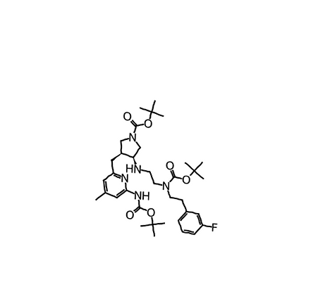 Cc1cc(C[C@H]2CN(C(=O)OC(C)(C)C)C[C@H]2NCCN(CCc2cccc(F)c2)C(=O)OC(C)(C)C)nc(NC(=O)OC(C)(C)C)c1